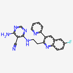 N#Cc1c(N)ncnc1NCCc1nc2ccc(F)cc2cc1-c1ccccn1